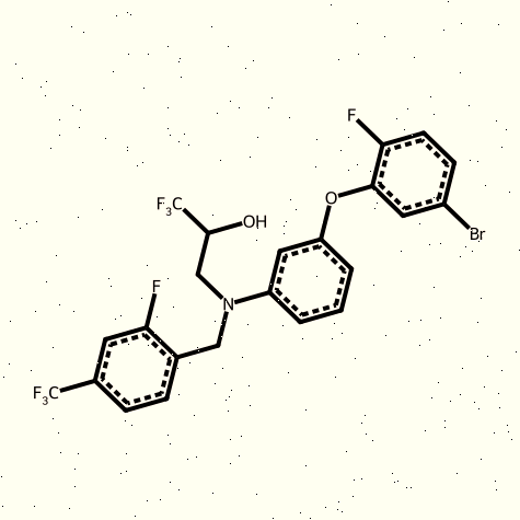 OC(CN(Cc1ccc(C(F)(F)F)cc1F)c1cccc(Oc2cc(Br)ccc2F)c1)C(F)(F)F